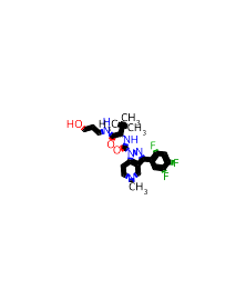 CN1CCc2c(c(-c3cc(F)c(F)cc3F)nn2C(=O)N[C@H](C(=O)NCCCO)C(C)(C)C)C1